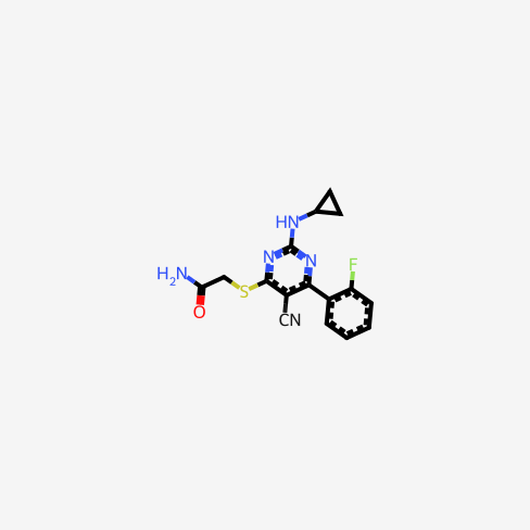 N#Cc1c(SCC(N)=O)nc(NC2CC2)nc1-c1ccccc1F